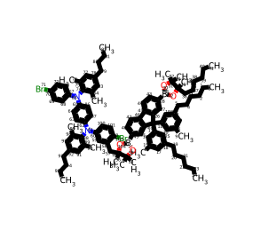 CCCCCCc1cc(C)cc(C2(c3cc(C)cc(CCCCCC)c3)c3cc(B4OC(C)(C)C(C)(CCCCCC)O4)ccc3-c3ccc(B4OC(C)(C)C(C)(Cc5cc(N(c6ccc(N(c7ccc(Br)cc7)c7c(C)cc(CCCC)cc7C)cc6)c6c(C)cc(CCCC)cc6C)ccc5Br)O4)cc32)c1